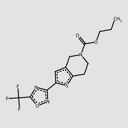 CCCOC(=O)N1CCc2sc(-c3noc(C(F)(F)F)n3)cc2C1